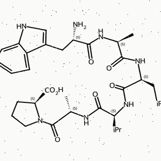 CC(C)C[C@H](NC(=O)[C@H](C)NC(=O)[C@@H](N)Cc1c[nH]c2ccccc12)C(=O)N[C@H](C(=O)N[C@@H](C)C(=O)N1CCC[C@H]1C(=O)O)C(C)C